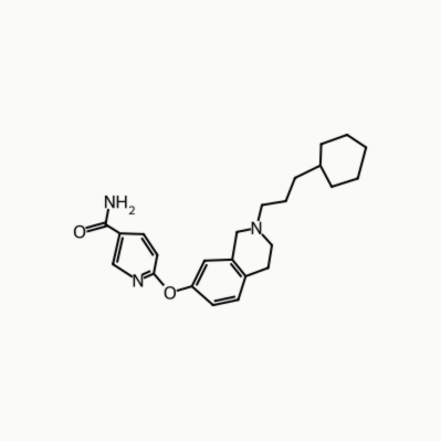 NC(=O)c1ccc(Oc2ccc3c(c2)CN(CCCC2CCCCC2)CC3)nc1